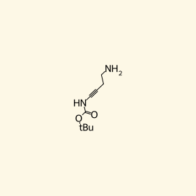 CC(C)(C)OC(=O)NC#CCCN